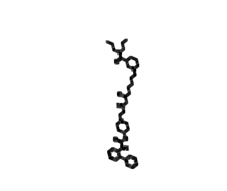 CCCN(CCC)C(=O)C1CCCN(CCCCCC(=O)CNCCN2CCC(OC(=O)Nc3ccccc3-c3ccccc3)CC2)C1